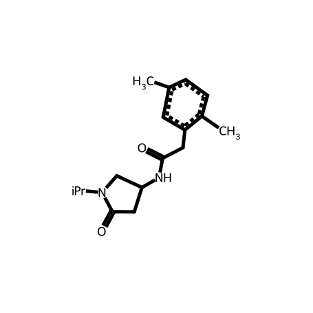 Cc1ccc(C)c(CC(=O)NC2CC(=O)N(C(C)C)C2)c1